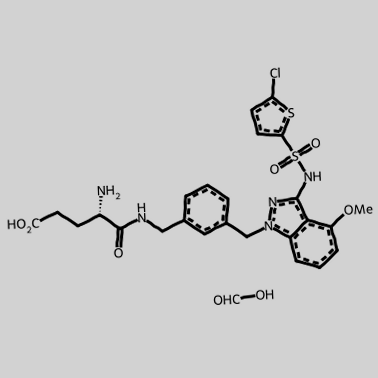 COc1cccc2c1c(NS(=O)(=O)c1ccc(Cl)s1)nn2Cc1cccc(CNC(=O)[C@@H](N)CCC(=O)O)c1.O=CO